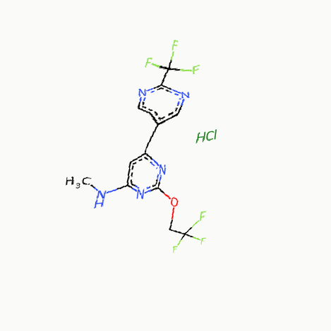 CNc1cc(-c2cnc(C(F)(F)F)nc2)nc(OCC(F)(F)F)n1.Cl